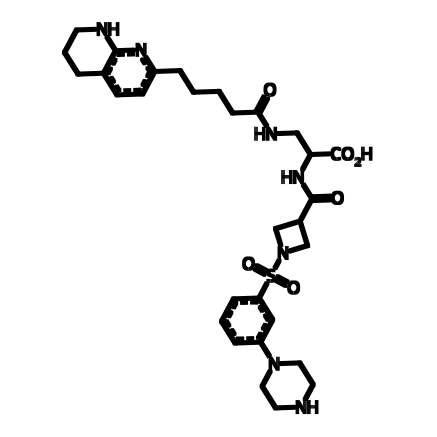 O=C(CCCCc1ccc2c(n1)NCCC2)NCC(NC(=O)C1CN(S(=O)(=O)c2cccc(N3CCNCC3)c2)C1)C(=O)O